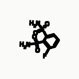 NS(=O)(=O)c1cccc(F)c1S(N)(=O)=O